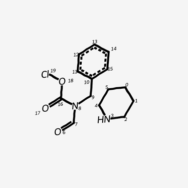 C1CCNCC1.O=CN(Cc1ccccc1)C(=O)OCl